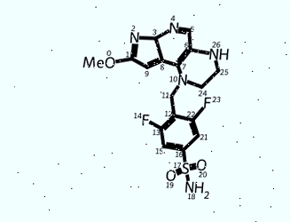 COC1=NC2N=CC3=C(C2=C1)N(Cc1c(F)cc(S(N)(=O)=O)cc1F)CCN3